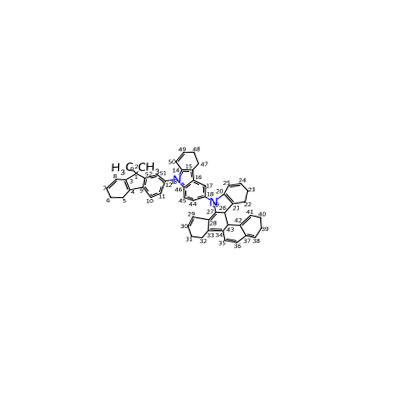 CC1(C)C2=C(CCC=C2)c2ccc(-n3c4c(c5cc(N6C7=C(CCC=C7)C7C6=C6C=CCCC6=C6C=CC8=CCCC=C8C67)ccc53)CCC=C4)cc21